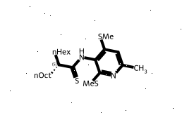 CCCCCCCC[C@H](CCCCCC)C(=S)Nc1c(SC)cc(C)nc1SC